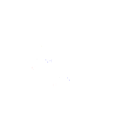 O=C(NCCC(=O)N1CCC2CCCCC2C1)c1cccs1